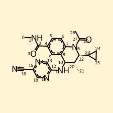 CNC(=O)c1ccc2c(c1)C(Nc1cnc(C#N)cn1)[C@@H](C)[C@H](C1CC1)N2C(C)=O